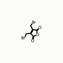 O=C1OC(=O)C(CBr)=C1CBr